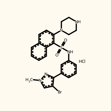 Cl.Cn1cc(Br)c(-c2cccc(NS(=O)(=O)c3c(N4CCNCC4)ccc4ccccc34)c2)n1